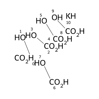 O=C(O)O.O=C(O)O.O=C(O)O.O=C(O)O.O=C(O)O.[KH]